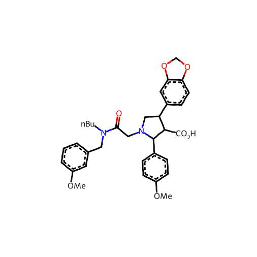 CCCCN(Cc1cccc(OC)c1)C(=O)CN1CC(c2ccc3c(c2)OCO3)C(C(=O)O)C1c1ccc(OC)cc1